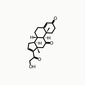 C[C@]12CCC(=O)C=C1CC[C@@H]1[C@@H]2C(=O)C[C@]2(C)C(C(=O)CO)=CC[C@@H]12